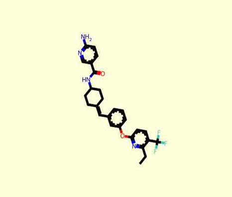 CCc1nc(Oc2cccc(C=C3CCC(NC(=O)c4ccc(N)nc4)CC3)c2)ccc1C(F)(F)F